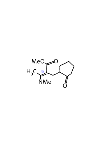 CN/C(C)=C(\CC1CCCCC1=O)C(=O)OC